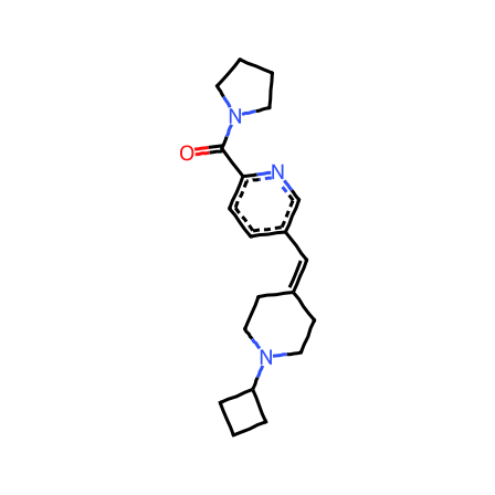 O=C(c1ccc(C=C2CCN(C3CCC3)CC2)cn1)N1CCCC1